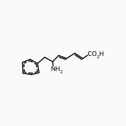 NC(/C=C/C=C/C(=O)O)Cc1ccccc1